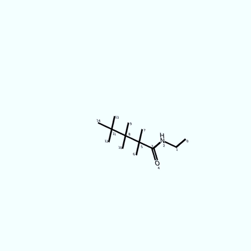 CCNC(=O)C(C)(C)C(C)(C)C(C)(C)C